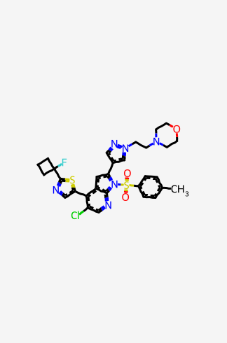 Cc1ccc(S(=O)(=O)n2c(-c3cnn(CCN4CCOCC4)c3)cc3c(-c4cnc(C5(F)CCC5)s4)c(Cl)cnc32)cc1